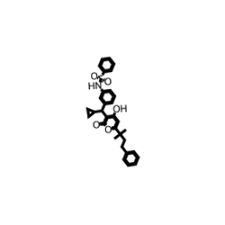 CC(C)(CCc1ccccc1)c1cc(O)c(C(c2cccc(NS(=O)(=O)c3ccccc3)c2)C2CC2)c(=O)o1